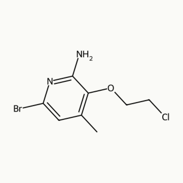 Cc1cc(Br)nc(N)c1OCCCl